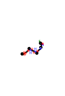 O=C(CCC(=O)Nc1ccccc1OCCCN1CCC(c2noc3cc(F)ccc23)CC1)Nc1ccccc1OCCCOS(=O)(=O)c1ccccc1